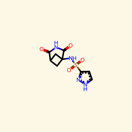 O=C1NC(=O)C2(NS(=O)(=O)c3cc[nH]n3)CC1C2